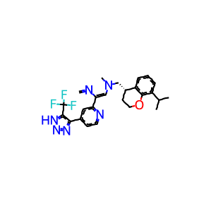 C=N/C(=C\N(C)C[C@H]1CCOc2c(C(C)C)cccc21)c1cc(-c2nn[nH]c2C(F)(F)F)ccn1